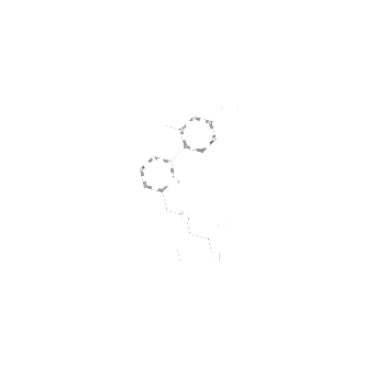 Cc1ccc(-c2ccc(F)c(CN[C@@H](CO)C(C)C)n2)c(F)c1